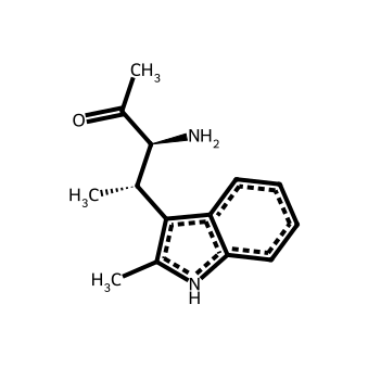 CC(=O)[C@@H](N)[C@@H](C)c1c(C)[nH]c2ccccc12